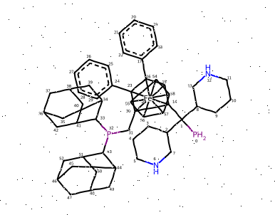 PC(C1CCCNC1)(C1CCCNC1)[C]12[CH]3[C]4(c5ccccc5)[C]5(c6ccccc6)[C]1(CP(C1C6CC7CC(C6)CC1C7)C1C6CC7CC(C6)CC1C7)[Fe]34521678[CH]2[CH]1[CH]6[CH]7[CH]28